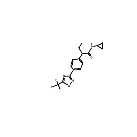 COC(C(=O)NC1CC1)c1ccc(-c2noc(C(F)(F)F)n2)cc1